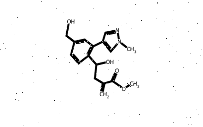 C=C(CC(O)c1ccc(CO)cc1-c1cnn(C)c1)C(=O)OC